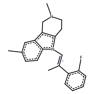 C/C(=C\n1c2c(c3cc(C)ccc31)CN(C)CC2)c1ccccc1F